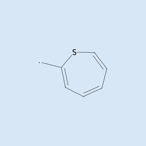 [CH2]C1=CC=CC=CS1